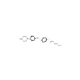 CCCCCC(=O)Oc1ccc(OC(=O)c2ccc(C3CCC(CC)CC3)cc2)cc1